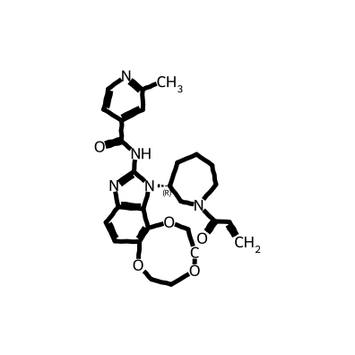 C=CC(=O)N1CCCC[C@@H](n2c(NC(=O)c3ccnc(C)c3)nc3ccc4c(c32)OCCOCCO4)C1